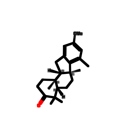 COc1cc(C)c2c(c1)C[C@H]1[C@]3(C)CCC(=O)C(C)(C)[C@H]3CC[C@]21C